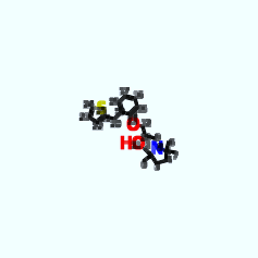 CC1(C)CCC(C)(C)N1CC(O)COc1ccccc1Cc1cccs1